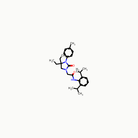 CCC1(CC)CN(CC(=O)Nc2c(C(C)C)cccc2C(C)C)C(=O)N1c1ccc(C)cc1